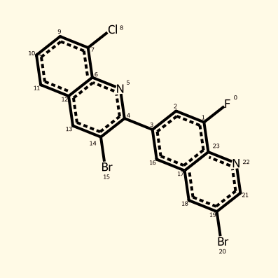 Fc1cc(-c2nc3c(Cl)c[c]cc3cc2Br)cc2cc(Br)cnc12